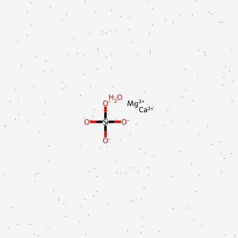 O.[Ca+2].[Mg+2].[O-][Si]([O-])([O-])[O-]